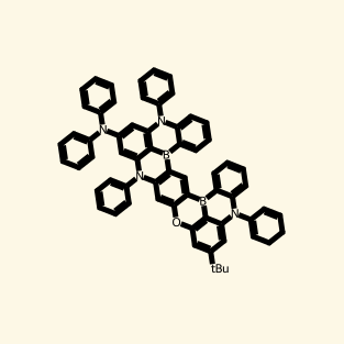 CC(C)(C)c1cc2c3c(c1)N(C1=CCCC=C1)c1ccccc1B3c1cc3c(cc1O2)N(c1ccccc1)c1cc(N(c2ccccc2)c2ccccc2)cc2c1B3c1ccccc1N2c1ccccc1